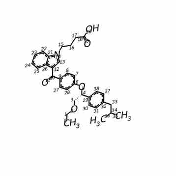 CCOC[C@H](Oc1ccc(C(=O)c2cn(CCCC(=O)O)c3ccccc23)cc1)c1ccc(CC(C)C)cc1